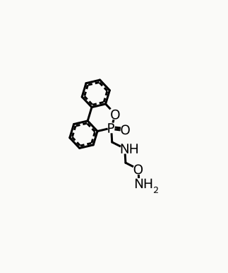 NOCNCP1(=O)Oc2ccccc2-c2ccccc21